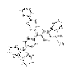 C=CC1(C(C)CC)c2ccccc2-c2cc(N(c3ccc(-c4ccccc4)cc3)c3ccc(-n4c5ccccc5c5ccccc54)cc3)ccc21